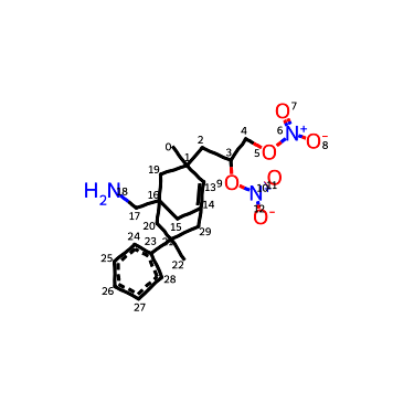 CC1(CC(CO[N+](=O)[O-])O[N+](=O)[O-])C=C2CC(CN)(C1)CC(C)(c1ccccc1)C2